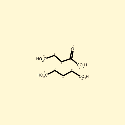 O=C(O)CCC(=O)C(=O)O.O=C(O)CCCC(=O)O